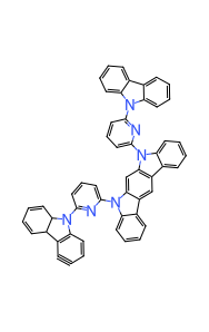 c1ccc2c(c#1)C1C=CC=CC1N2c1cccc(-n2c3ccccc3c3cc4c5ccccc5n(-c5cccc(-n6c7ccccc7c7ccccc76)n5)c4cc32)n1